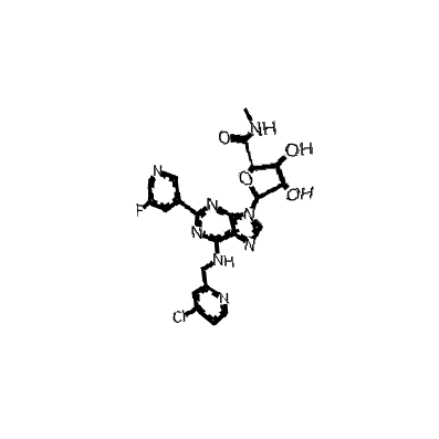 CNC(=O)[C@@H]1OC(n2cnc3c(NCc4cc(Cl)ccn4)nc(-c4cncc(F)c4)nc32)C(O)C1O